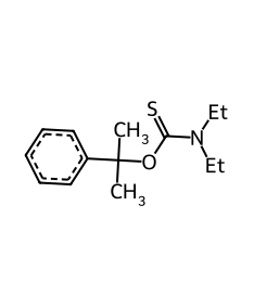 CCN(CC)C(=S)OC(C)(C)c1ccccc1